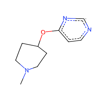 CN1CCC(Oc2ccn[c]n2)CC1